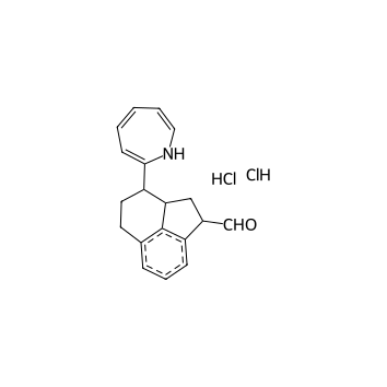 Cl.Cl.O=CC1CC2c3c(cccc31)CCC2C1=CC=CC=CN1